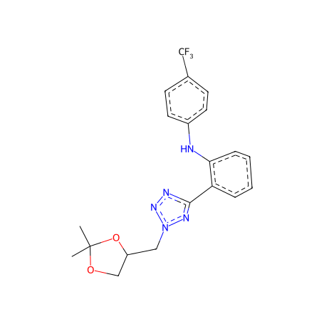 CC1(C)OCC(Cn2nnc(-c3ccccc3Nc3ccc(C(F)(F)F)cc3)n2)O1